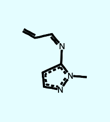 C=C/C=N\c1ccnn1C